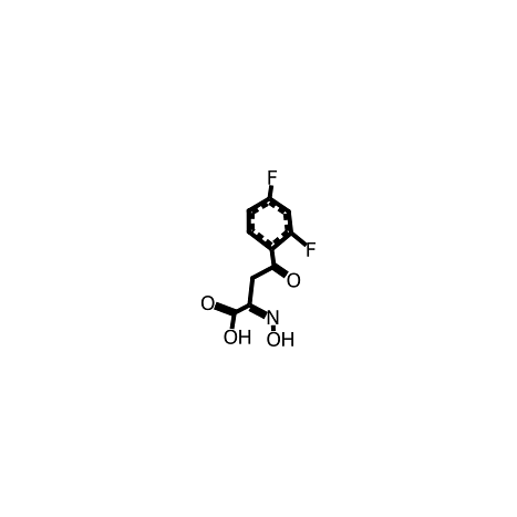 O=C(O)C(CC(=O)c1ccc(F)cc1F)=NO